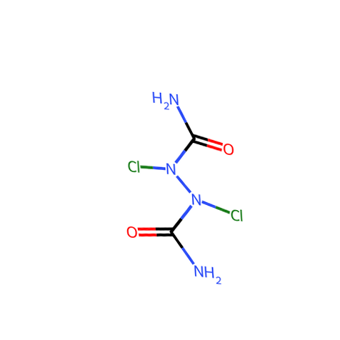 NC(=O)N(Cl)N(Cl)C(N)=O